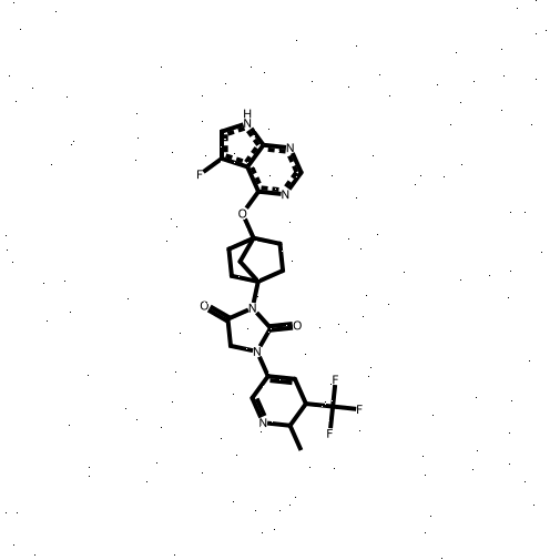 CC1N=CC(N2CC(=O)N(C34CCC(Oc5ncnc6[nH]cc(F)c56)(CC3)C4)C2=O)=CC1C(F)(F)F